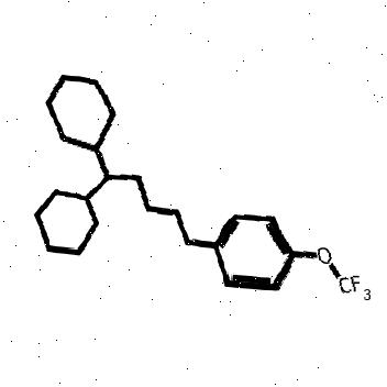 FC(F)(F)Oc1ccc(CCCCC(C2CCCCC2)C2CCCCC2)cc1